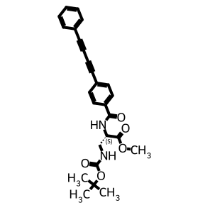 COC(=O)[C@H](CNC(=O)OC(C)(C)C)NC(=O)c1ccc(C#CC#Cc2ccccc2)cc1